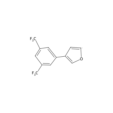 FC(F)(F)c1cc(-c2c[c]oc2)cc(C(F)(F)F)c1